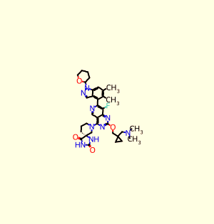 Cc1cc2c(cnn2C2CCCCO2)c(-c2ncc3c(N4CCC[C@]5(C4)NC(=O)NC5=O)nc(OCC4(CN(C)C)CC4)nc3c2F)c1C